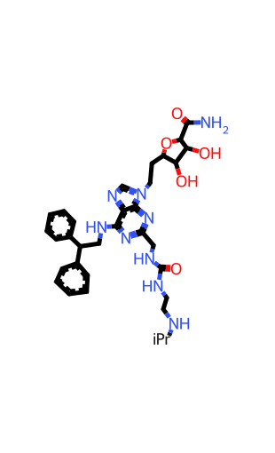 CC(C)NCCNC(=O)NCc1nc(NCC(c2ccccc2)c2ccccc2)c2ncn(CCC3OC(C(N)=O)C(O)C3O)c2n1